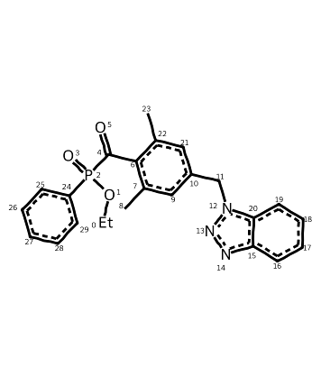 CCOP(=O)(C(=O)c1c(C)cc(Cn2nnc3ccccc32)cc1C)c1ccccc1